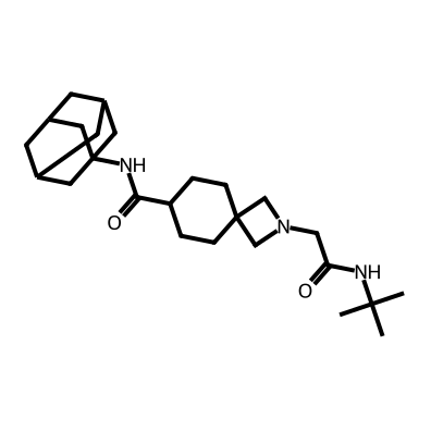 CC(C)(C)NC(=O)CN1CC2(CCC(C(=O)NC34CC5CC(CC(C5)C3)C4)CC2)C1